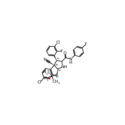 CC(C)(C)C[C@@H]1NC(C(=O)Nc2ccc(F)cc2)[C@H](c2cccc(Cl)c2F)[C@@]1(C#N)c1ccc(Cl)cc1F